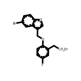 CCOC(=O)Cc1cc(F)ccc1OCc1coc2ccc(Br)cc12